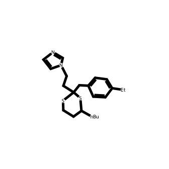 CCCCC1CCSC(CCn2ccnc2)(Cc2ccc(CC)cc2)S1